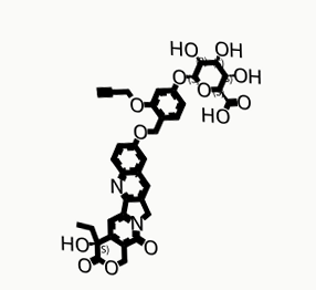 C#CCOc1cc(O[C@@H]2O[C@H](C(=O)O)[C@@H](O)[C@H](O)[C@H]2O)ccc1COc1ccc2nc3c(cc2c1)Cn1c-3cc2c(c1=O)COC(=O)[C@]2(O)CC